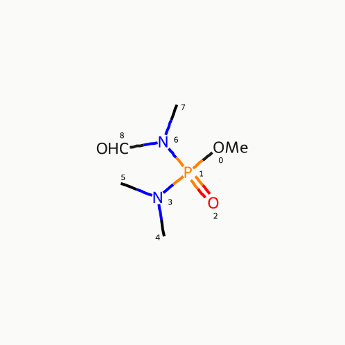 COP(=O)(N(C)C)N(C)C=O